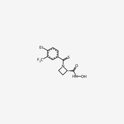 CCc1ccc(C(=S)N2CC[C@@H]2C(=O)NO)cc1C(F)(F)F